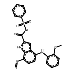 COc1ccccc1Nc1ccc(N=O)c2[nH]c(C(=O)NS(=O)(=O)c3ccccc3)cc12